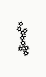 c1ccc(-c2cccc(-c3cc4c5ccc(-c6ccc(N(c7ccccc7)c7cccc8c7sc7ccccc78)cc6)cc5oc4c4ccccc34)c2)cc1